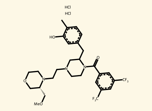 COC[C@@H]1COCCN1CCN1CCN(C(=O)c2cc(C(F)(F)F)cc(C(F)(F)F)c2)C(Cc2ccc(C)c(O)c2)C1.Cl.Cl